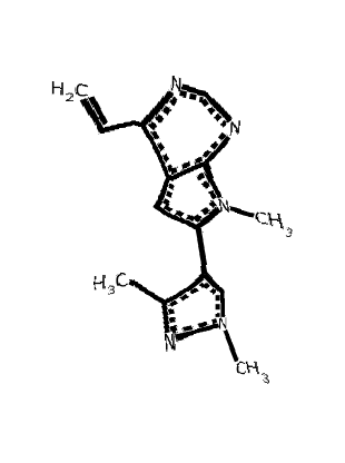 C=Cc1ncnc2c1cc(-c1cn(C)nc1C)n2C